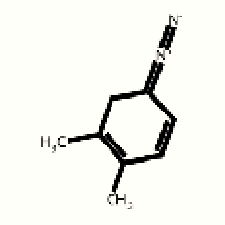 CC1=C(C)CC(=[N+]=[N-])C=C1